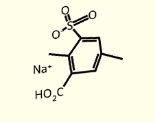 Cc1cc(C(=O)O)c(C)c(S(=O)(=O)[O-])c1.[Na+]